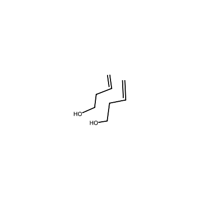 C=CCCO.C=CCCO